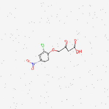 O=C(O)CC(=O)COc1ccc([N+](=O)[O-])cc1Cl